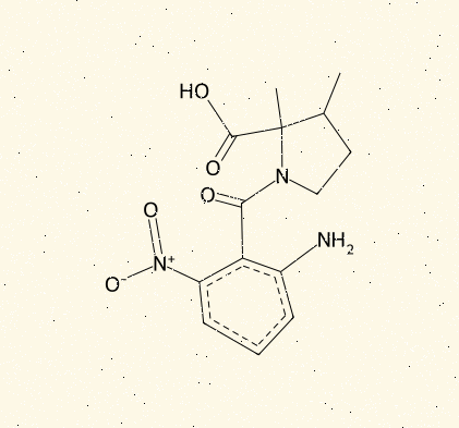 CC1CCN(C(=O)c2c(N)cccc2[N+](=O)[O-])C1(C)C(=O)O